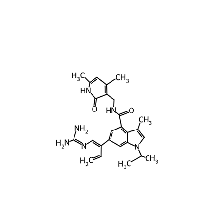 C=C/C(=C\N=C(N)N)c1cc(C(=O)NCc2c(C)cc(C)[nH]c2=O)c2c(C)cn(C(C)C)c2c1